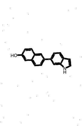 Oc1ccc2cc(-c3ccc4cc[nH]c4c3)ccc2c1